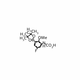 COc1c(NC(=O)O)cc(F)cc1B1OC(C)(C)C(C)(C)O1